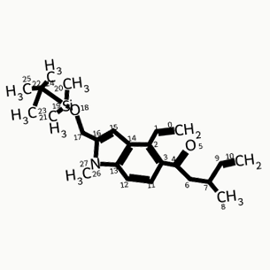 C=Cc1c(C(=O)CC(C)C=C)ccc2c1cc(CO[Si](C)(C)C(C)(C)C)n2C